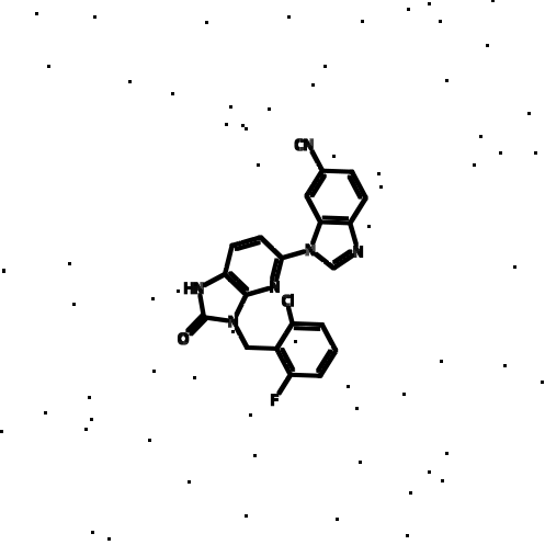 [C-]#[N+]c1ccc2ncn(-c3ccc4[nH]c(=O)n(Cc5c(F)cccc5Cl)c4n3)c2c1